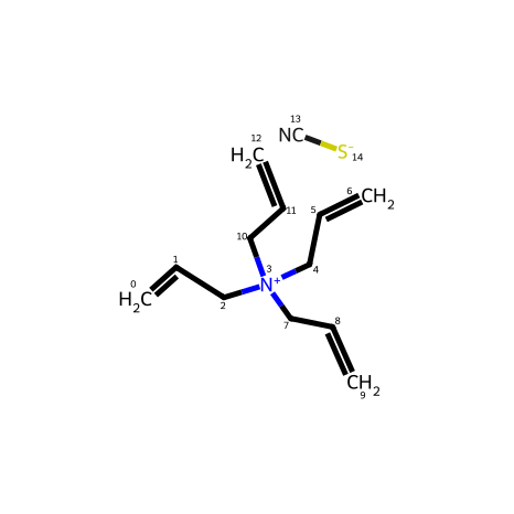 C=CC[N+](CC=C)(CC=C)CC=C.N#C[S-]